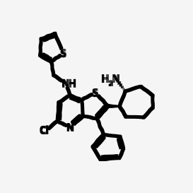 N[C@@H]1CCCCC[C@H]1c1sc2c(NCc3cccs3)cc(Cl)nc2c1-c1ccccc1